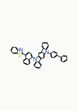 c1ccc(-c2ccc(-n3c4ccccc4c4cc5c(cc43)c3ccccc3n5-c3ccc(-c4nc5ccccc5s4)c4ccccc34)cc2)cc1